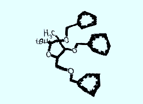 CC(C)(C)C1OC(COCc2ccccc2)C(OCc2ccccc2)C1(C)OCc1ccccc1